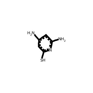 Nc1cc(N)nc(S)c1